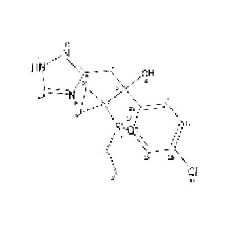 CC[S+]([O-])C1(C(O)(Cc2nc[nH]n2)c2ccc(Cl)cc2)CC1